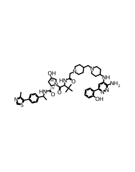 Cc1ncsc1-c1ccc(C(C)NC(=O)[C@@H]2C[C@@H](O)CN2C(=O)C(NC(=O)CN2CCC(CN3CCC(Nc4cc(-c5ccccc5O)nnc4N)CC3)CC2)C(C)(C)C)cc1